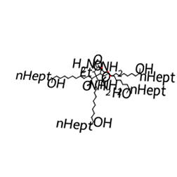 CCCCCCCC(O)CCCCCCCCCC(C(N)=O)C(CC)C(C(CCCCCCCCCC(O)CCCCCCC)C(N)=O)(C(CCCCCCCCCC(O)CCCCCCC)C(N)=O)C(CCCCCCCCCC(O)CCCCCCC)C(N)=O